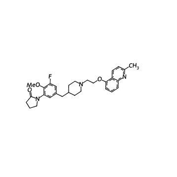 COc1c(F)cc(CC2CCN(CCOc3cccc4nc(C)ccc34)CC2)cc1N1CCCC1=O